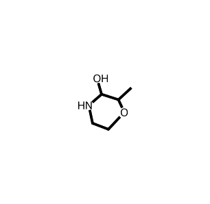 CC1OCCNC1O